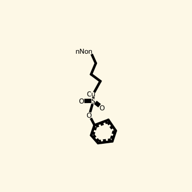 CCCCCCCCCCC[CH2][Cu][S](=O)(=O)Oc1ccccc1